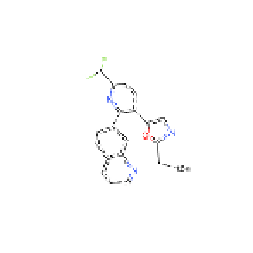 CC(C)(C)Cc1ncc(-c2ccc(C(F)F)nc2-c2ccc3cccnc3c2)o1